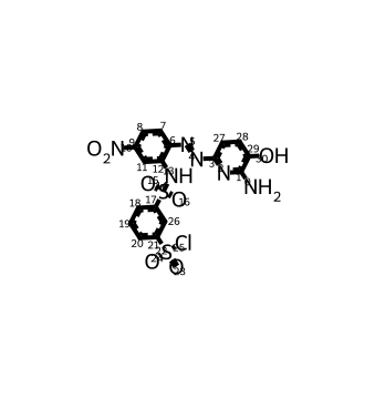 Nc1nc(N=Nc2ccc([N+](=O)[O-])cc2NS(=O)(=O)c2cccc(S(=O)(=O)Cl)c2)ccc1O